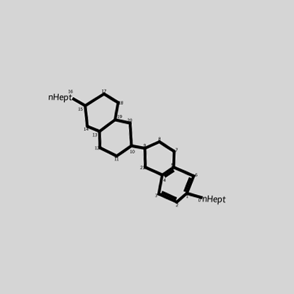 CCCCCCCc1ccc2c(c1)CCC(C1CCC3CC(CCCCCCC)CCC3C1)C2